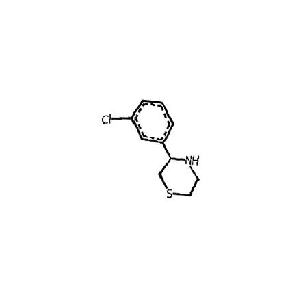 Clc1cccc(C2CSCCN2)c1